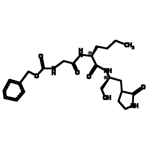 CCCC[C@H](NC(=O)CNC(=O)OCc1ccccc1)C(=O)N[C@H](CO)CC1CCNC1=O